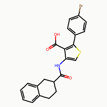 O=C(O)c1c(NC(=O)C2CCc3ccccc3C2)csc1-c1ccc(Br)cc1